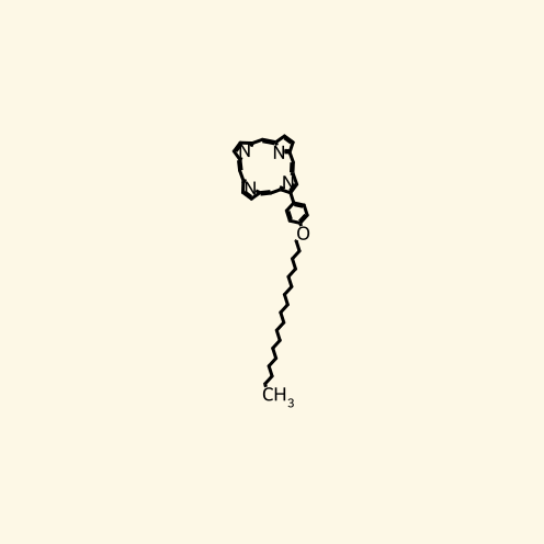 CCCCCCCCCCCCCCCCCCOc1ccc(C2=CC3=CC4=NC(=CC5=NC(=CC6=NC(=CC2=N3)C=C6)C=C5)C=C4)cc1